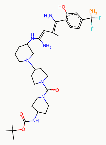 CC(/C=C(\N)NC1CCCN(C2CCN(C(=O)N3CCC(NC(=O)OC(C)(C)C)CC3)CC2)C1)=C(/N)c1ccc(C(F)(F)P)cc1O